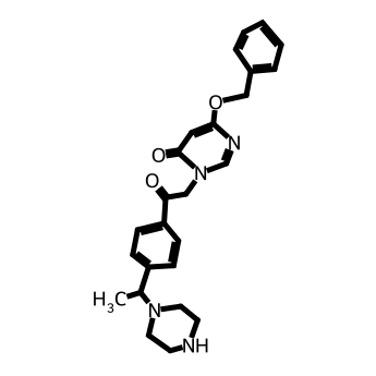 CC(c1ccc(C(=O)Cn2cnc(OCc3ccccc3)cc2=O)cc1)N1CCNCC1